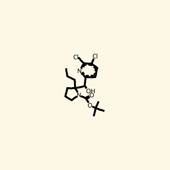 CCCC1(C(O)c2ccc(Cl)c(Cl)n2)CCCN1C(=O)OC(C)(C)C